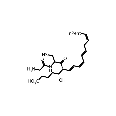 CCCCC/C=C\C/C=C/C=C\C=C\[C@H](C(=O)C(CS)NC(=O)CN)[C@H](O)CCCC(=O)O